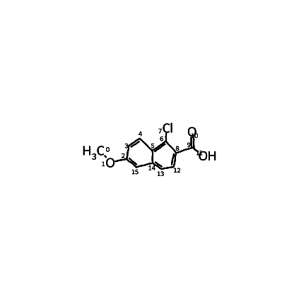 COc1ccc2c(Cl)c(C(=O)O)ccc2c1